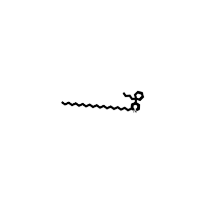 CCCCCCCCCCCCCCCCCCCCc1cc(C2(CCCC)C=CC=CC2)ccn1